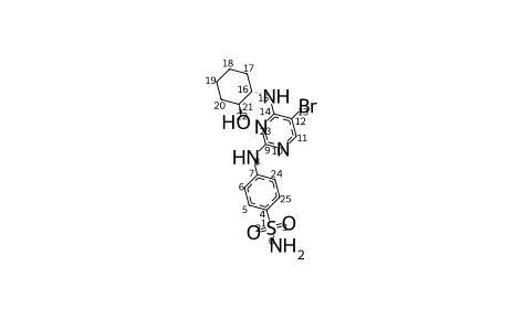 NS(=O)(=O)c1ccc(Nc2ncc(Br)c(N[C@H]3CCCC[C@@H]3O)n2)cc1